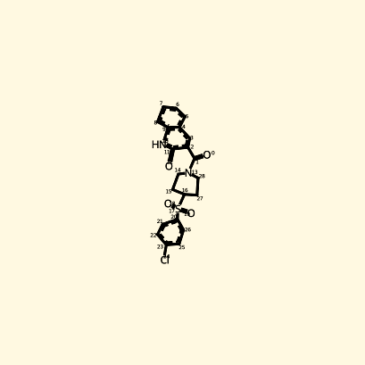 O=C(c1cc2ccccc2[nH]c1=O)N1CCC(S(=O)(=O)c2ccc(Cl)cc2)CC1